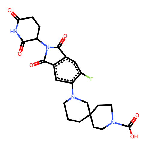 O=C1CCC(N2C(=O)c3cc(F)c(N4CCCC5(CCN(C(=O)O)CC5)C4)cc3C2=O)C(=O)N1